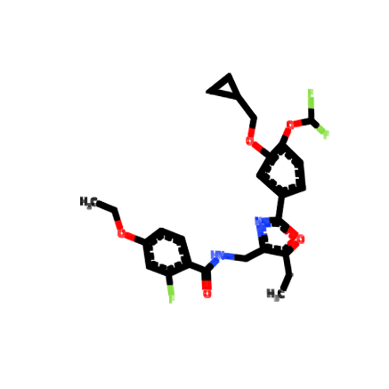 C[CH]c1oc(-c2ccc(OC(F)F)c(OCC3CC3)c2)nc1CNC(=O)c1ccc(OCC)cc1F